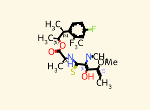 C=N/C(C(=S)N[C@@H](C)C(=O)O[C@@H](C)[C@@H](C)c1ccc(F)cc1C(F)(F)F)=C(O)\C(=C/C)OC